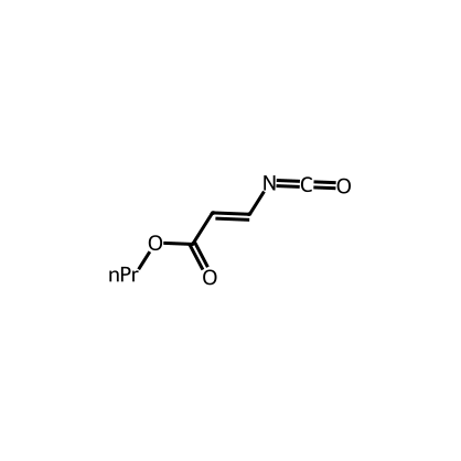 CCCOC(=O)C=CN=C=O